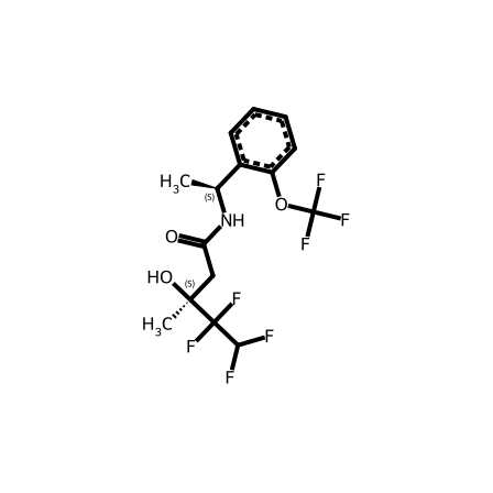 C[C@H](NC(=O)C[C@](C)(O)C(F)(F)C(F)F)c1ccccc1OC(F)(F)F